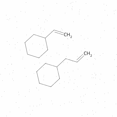 C=CC1CCCCC1.C=CCC1CCCCC1